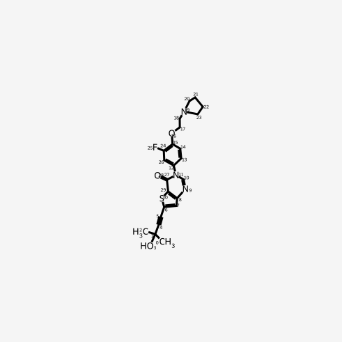 CC(C)(O)C#Cc1cc2ncn(-c3ccc(OCCN4CCCC4)c(F)c3)c(=O)c2s1